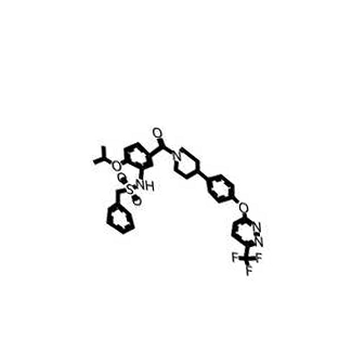 CC(C)Oc1ccc(C(=O)N2CCC(c3ccc(Oc4ccc(C(F)(F)F)nn4)cc3)CC2)cc1NS(=O)(=O)Cc1ccccc1